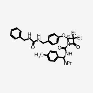 CCCC(NC(=O)N1C(=O)C(CC)(CC)[C@@H]1Oc1ccc(CNC(=O)NCc2ccccc2)cc1)c1ccc(C)cc1